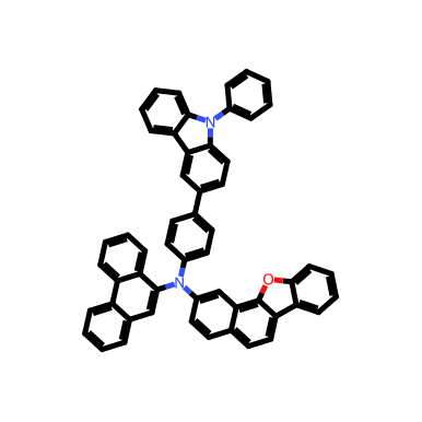 c1ccc(-n2c3ccccc3c3cc(-c4ccc(N(c5ccc6ccc7c8ccccc8oc7c6c5)c5cc6ccccc6c6ccccc56)cc4)ccc32)cc1